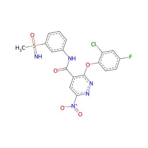 CS(=N)(=O)c1cccc(NC(=O)c2cc([N+](=O)[O-])nnc2Oc2ccc(F)cc2Cl)c1